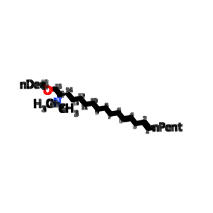 CCCCCC=CCC=CCCCCCCCCC[C@@H](COCCCCCCCCCC)N(C)C